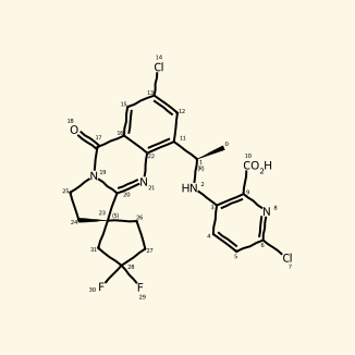 C[C@@H](Nc1ccc(Cl)nc1C(=O)O)c1cc(Cl)cc2c(=O)n3c(nc12)[C@]1(CC3)CCC(F)(F)C1